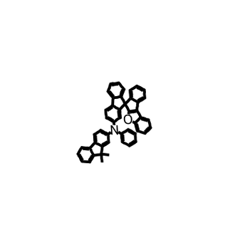 CC1(C)c2ccccc2-c2ccc(N(c3ccccc3)c3ccc4c(c3)C3(c5ccccc5-4)c4ccccc4-c4c3oc3ccccc43)cc21